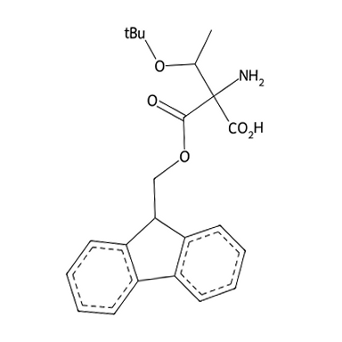 CC(OC(C)(C)C)C(N)(C(=O)O)C(=O)OCC1c2ccccc2-c2ccccc21